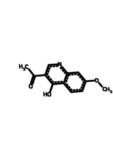 COc1ccc2c(O)c(C(C)=O)cnc2c1